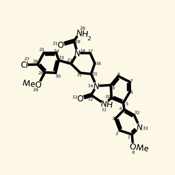 COc1ccc(-c2cccc3c2[nH]c(=O)n3C2CCN(C(N)=O)C(c3ccc(Cl)c(OC)c3)C2)cn1